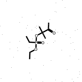 CCOP(=O)(CC)OC(C)(C)C(C)=O